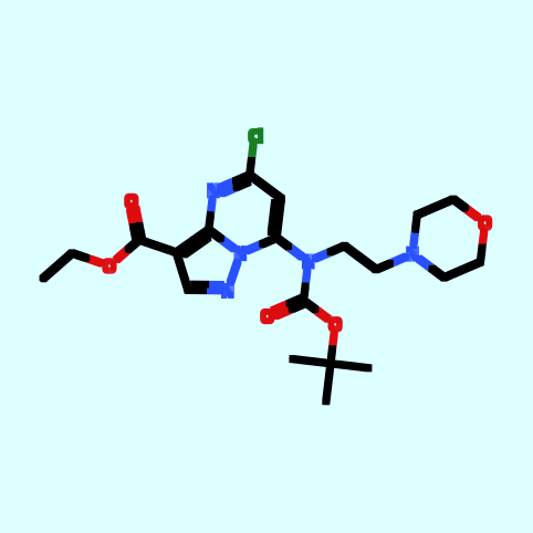 CCOC(=O)c1cnn2c(N(CCN3CCOCC3)C(=O)OC(C)(C)C)cc(Cl)nc12